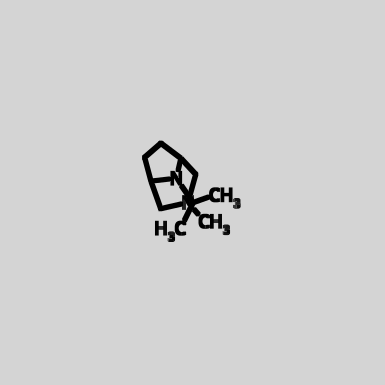 CC(C)N1C2CCC1CN(C)C2